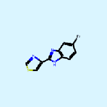 CCc1ccc2[nH]c(-c3cscn3)nc2c1